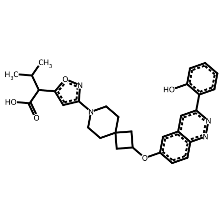 CC(C)C(C(=O)O)c1cc(N2CCC3(CC2)CC(Oc2ccc4nnc(-c5ccccc5O)cc4c2)C3)no1